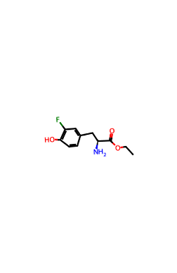 CCOC(=O)[C@@H](N)Cc1ccc(O)c(F)c1